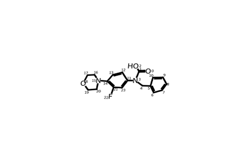 O=C(O)N(Cc1ccccc1)c1ccc(N2CCOCC2)c(F)c1